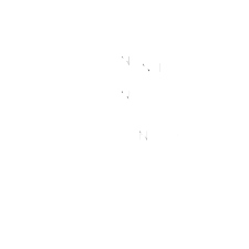 c1ccc(-c2n[nH]c(-c3cccc4c3[nH]c3ccccc34)n2)cc1